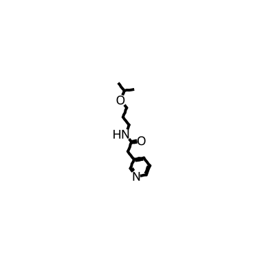 CC(C)OCCCNC(=O)Cc1cccnc1